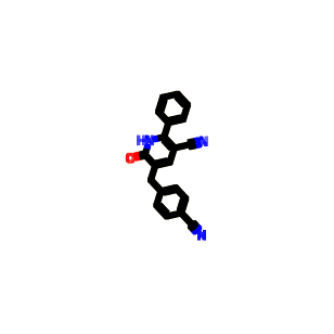 N#Cc1ccc(Cc2cc(C#N)c(-c3ccccc3)[nH]c2=O)cc1